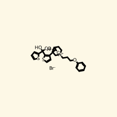 O=C(O)C(O)(c1cccs1)c1sccc1[C@@H]1C[N+]2(CCCOc3ccccc3)CCC1CC2.[Br-]